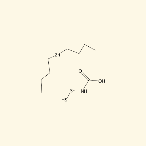 CCC[CH2][Zn][CH2]CCC.O=C(O)NSS